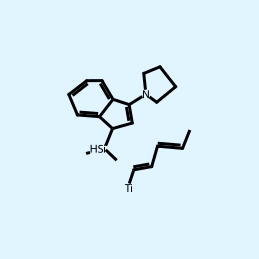 CC=CC=[CH][Ti].C[SiH](C)C1C=C(N2CCCC2)c2ccccc21